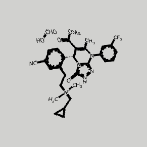 COC(=O)C1=C(C)N(c2cccc(C(F)(F)F)c2)c2n[nH]c(=O)n2[C@@H]1c1ccc(C#N)cc1CC[N+](C)(C)CC1CC1.O=CO